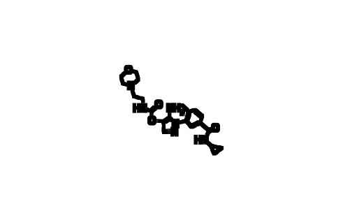 Cc1ccc(C(=O)NC2CC2)cc1-n1ncc(OC(=O)NCCN2CCOCC2)c1N